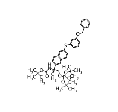 CC(C)(C)OC(=O)N[C@@](C)(COP(=O)(OC(C)(C)C)OC(C)(C)C)c1ccc2cc(Sc3cccc(OCc4ccccc4)c3)ccc2c1